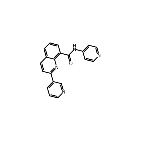 O=C(Nc1ccncc1)c1cccc2ccc(-c3cccnc3)nc12